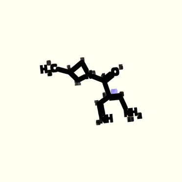 CC1CN(C(=O)/C(C=N)=C/N)C1